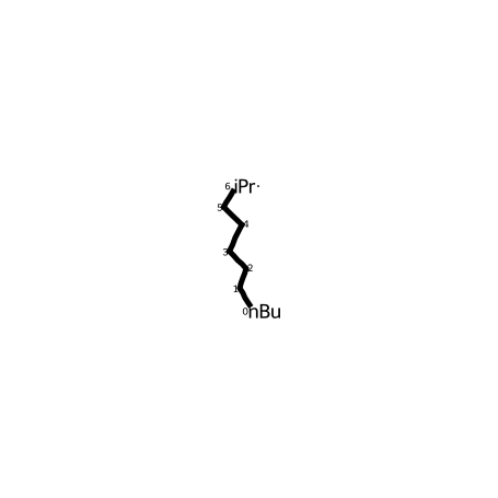 [CH2]CCCCCCCC[C](C)C